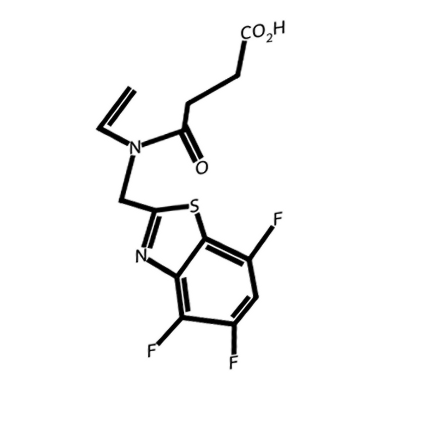 C=CN(Cc1nc2c(F)c(F)cc(F)c2s1)C(=O)CCC(=O)O